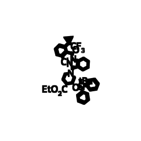 CCOC(=O)[C@@H]1CCN(c2nn(C(=O)c3c(Cl)cccc3C3(C(F)(F)F)CC3)c3c2CCCC3)C[C@H]1O[Si](c1ccccc1)(c1ccccc1)C(C)(C)C